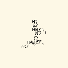 Cc1ccc(-c2ccc(C(=O)NOCCO)c(C(F)(F)F)c2)nc1NCc1cc2cccnc2cc1F